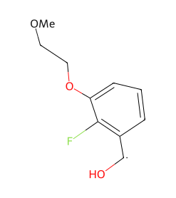 COCCOc1cccc([CH]O)c1F